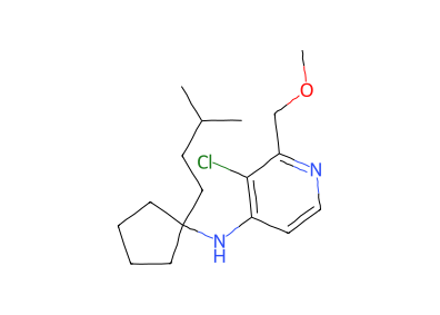 COCc1nccc(NC2(CCC(C)C)CCCC2)c1Cl